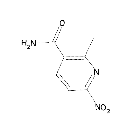 Cc1nc([N+](=O)[O-])ccc1C(N)=O